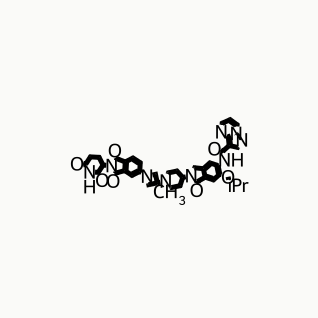 CC(C)Oc1cc2c(cc1NC(=O)c1cnn3cccnc13)CN(C1CCN(C3(C)CN(c4ccc5c(c4)C(=O)N(C4CCC(=O)NC4=O)C5=O)C3)CC1)C2=O